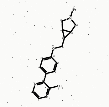 Cc1nccnc1-c1ccc(OCC2C3CN(C(C)C)CC23)cc1